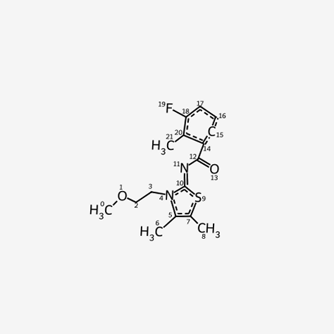 COCCn1c(C)c(C)sc1=NC(=O)c1cccc(F)c1C